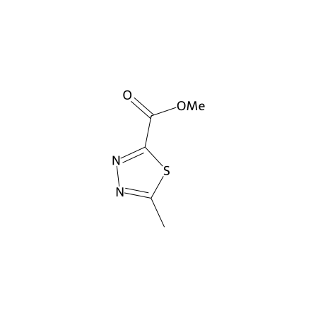 COC(=O)c1nnc(C)s1